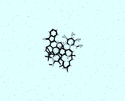 COC(=O)/C(C)=C\CC12OC(C)(C)C3CC(C1=O)C1C4=C(c5ccccc5C4=O)N4CCNC45c4c(O[C@H]6O[C@@H](CO)[C@H](O)[C@@H](O)[C@@H]6O)c6c(c(CC=C(C)C)c4OC32C15)OC(C)(CCC=C(C)C)C=C6